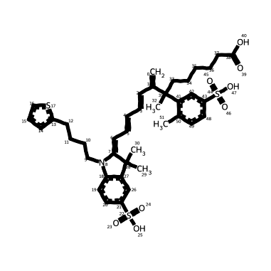 C=C(/C=C/C=C/C=C1/N(CCCCc2cccs2)c2ccc(S(=O)(=O)O)cc2C1(C)C)C(C)(CCCCCC(=O)O)c1cc(S(=O)(=O)O)ccc1C